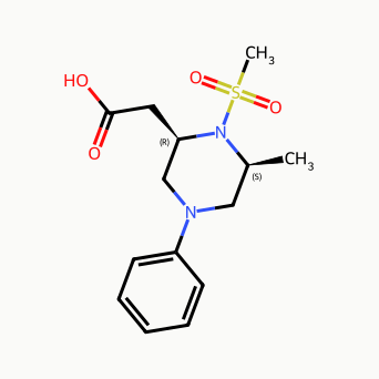 C[C@H]1CN(c2ccccc2)C[C@@H](CC(=O)O)N1S(C)(=O)=O